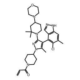 C=CC(=O)N1CCC(n2nc(N3CCC(N4CCOCC4)CC3(C)C)c(-c3c(Cl)c(C)cc4[nH]ncc34)c2C)CC1